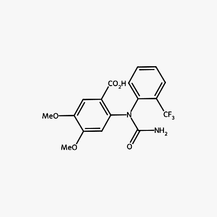 COc1cc(C(=O)O)c(N(C(N)=O)c2ccccc2C(F)(F)F)cc1OC